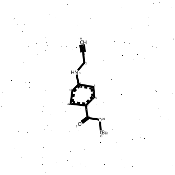 C#CCNc1ccc(C(=O)OC(C)(C)C)cc1